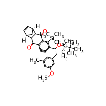 Cc1cc(C[C@@H](O[Si](C)(C)C(C)(C)C)c2c#cc3c(c2[Si](C)(C)C)C(=O)C2C(C3=O)[C@H]3C=C[C@@H]2C3)cc(O[SiH3])c1